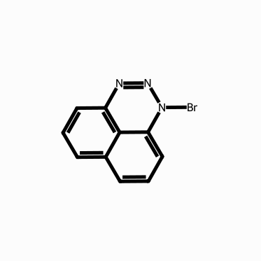 BrN1N=Nc2cccc3cccc1c23